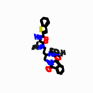 CC(C)C[C@H](NC(=O)c1cc2ccccc2s1)C(=O)NCC[C@H](CN1C(=O)c2ccccc2C1=O)NC(=O)O